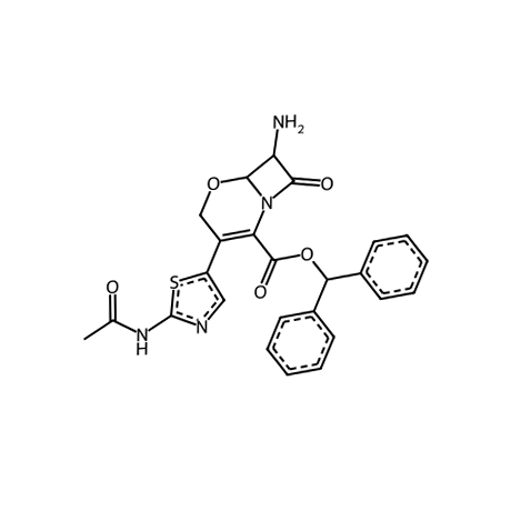 CC(=O)Nc1ncc(C2=C(C(=O)OC(c3ccccc3)c3ccccc3)N3C(=O)C(N)C3OC2)s1